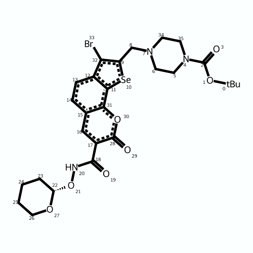 CC(C)(C)OC(=O)N1CCN(Cc2[se]c3c(ccc4cc(C(=O)NO[C@H]5CCCCO5)c(=O)oc43)c2Br)CC1